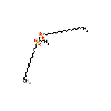 CCCCCCC=CCCCCCCCCS(=O)(=O)C(C)CS(=O)(=O)CCCCCCCCCCCCCCCC